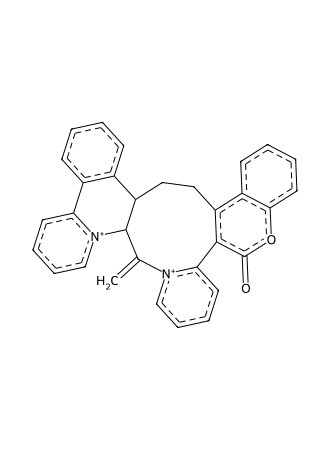 C=C1C2C(CCc3c(c(=O)oc4ccccc34)-c3cccc[n+]31)c1ccccc1-c1cccc[n+]12